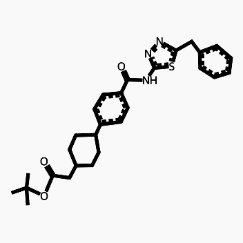 CC(C)(C)OC(=O)CC1CCC(c2ccc(C(=O)Nc3nnc(Cc4ccccc4)s3)cc2)CC1